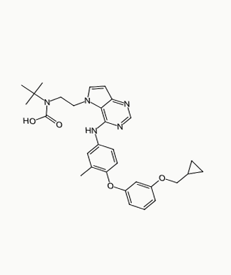 Cc1cc(Nc2ncnc3ccn(CCN(C(=O)O)C(C)(C)C)c23)ccc1Oc1cccc(OCC2CC2)c1